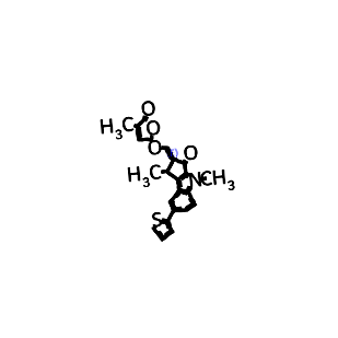 CC1=CC(O/C=C2/C(=O)c3c(c4cc(-c5cccs5)ccc4n3C)C2C)OC1=O